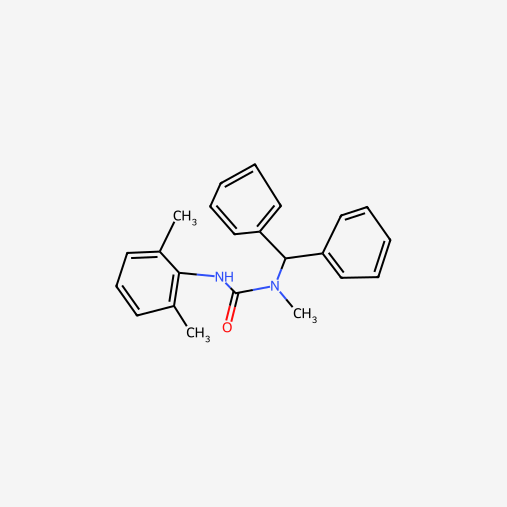 Cc1cccc(C)c1NC(=O)N(C)C(c1ccccc1)c1ccccc1